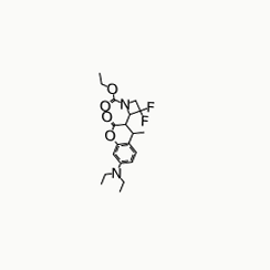 CCOC(=O)N1CC(F)(F)C1C1C(=O)Oc2cc(N(CC)CC)ccc2C1C